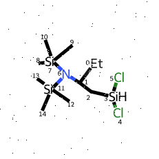 CCC(C[SiH](Cl)Cl)N([Si](C)(C)C)[Si](C)(C)C